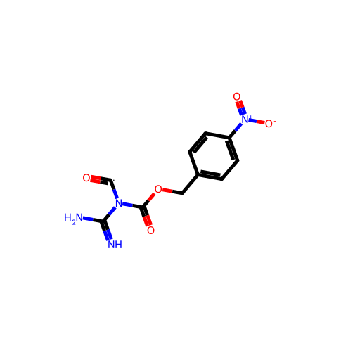 N=C(N)N([C]=O)C(=O)OCc1ccc([N+](=O)[O-])cc1